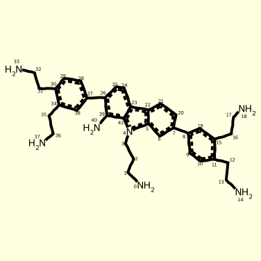 NCCCn1c2cc(-c3ccc(CCN)c(CCN)c3)ccc2c2ccc(-c3ccc(CCN)c(CCN)c3)c(N)c21